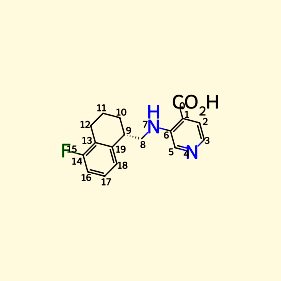 O=C(O)c1ccncc1NC[C@H]1CCCc2c(F)cccc21